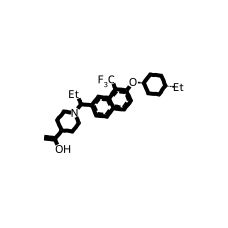 C=C(O)C1CCN(C(CC)c2ccc3ccc(O[C@H]4CC[C@@H](CC)CC4)c(C(F)(F)F)c3c2)CC1